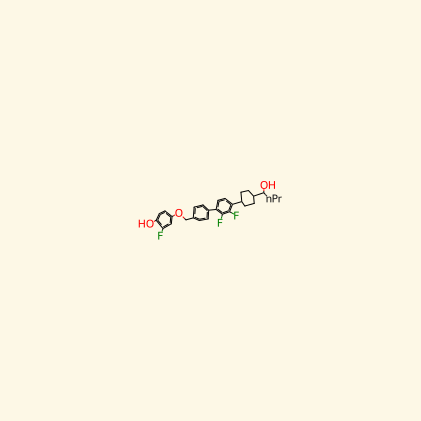 CCCC(O)C1CCC(c2ccc(-c3ccc(COc4ccc(O)c(F)c4)cc3)c(F)c2F)CC1